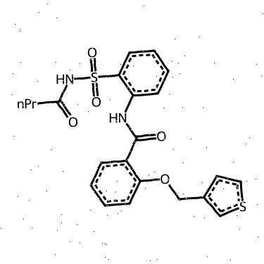 CCCC(=O)NS(=O)(=O)c1ccccc1NC(=O)c1ccccc1OCc1ccsc1